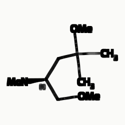 CN[C@H](COC)CC(C)(C)OC